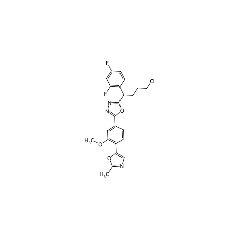 COc1cc(-c2nnc(C(CCCCl)c3ccc(F)cc3F)o2)ccc1-c1cnc(C)o1